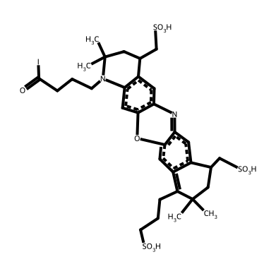 CC1(C)CC(CS(=O)(=O)O)c2cc3c(cc2=C1CCCS(=O)(=O)O)Oc1cc2c(cc1N=3)C(CS(=O)(=O)O)CC(C)(C)N2CCCC(=O)I